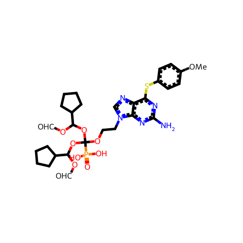 COc1ccc(Sc2nc(N)nc3c2ncn3CCOC(OC(OC=O)C2CCCC2)(OC(OC=O)C2CCCC2)P(=O)(O)O)cc1